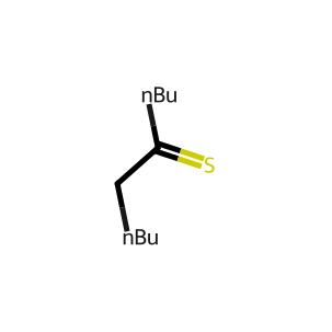 CCCCCC(=S)CCCC